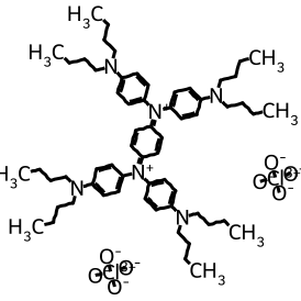 CCCCN(CCCC)c1ccc([N+](=C2C=CC(=[N+](c3ccc(N(CCCC)CCCC)cc3)c3ccc(N(CCCC)CCCC)cc3)C=C2)c2ccc(N(CCCC)CCCC)cc2)cc1.[O-][Cl+3]([O-])([O-])[O-].[O-][Cl+3]([O-])([O-])[O-]